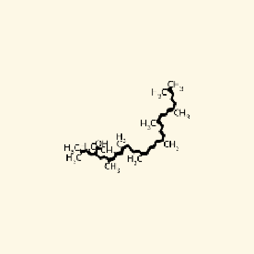 CC(C)=CCCC(C)=CC=CC(C)=CC=CC(C)=CC=CC=C(C)C=CC=C(C)C=CC=C(C)C=CC(CC=C(C)C)C(C)(C)O